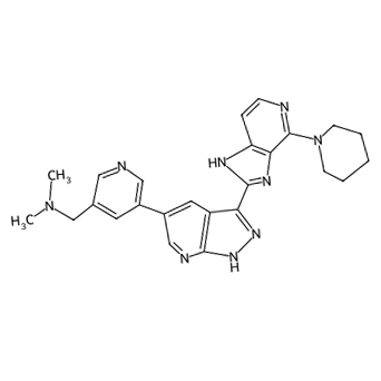 CN(C)Cc1cncc(-c2cnc3[nH]nc(-c4nc5c(N6CCCCC6)nccc5[nH]4)c3c2)c1